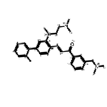 Cc1ccccc1-c1ccc(C=CC(=O)c2cccc(CN(C)C)c2)c(N(C)CCN(C)C)c1